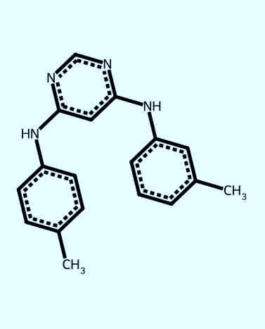 Cc1ccc(Nc2cc(Nc3cccc(C)c3)ncn2)cc1